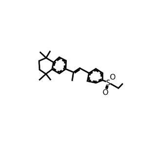 CCS(=O)(=O)c1ccc(/C=C(\C)c2ccc3c(c2)C(C)(C)CCC3(C)C)cc1